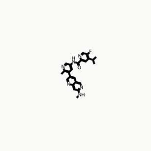 CNc1cc2ncc(-c3cc(NC(=O)c4cc(C(C)C)c(F)cn4)cnc3C)cc2cn1